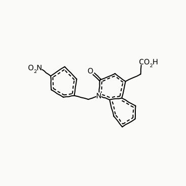 O=C(O)Cc1cc(=O)n(Cc2ccc([N+](=O)[O-])cc2)c2ccccc12